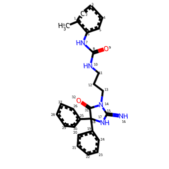 Cc1ccccc1NC(=O)NCCCN1C(=N)NC(c2ccccc2)(c2ccccc2)C1=O